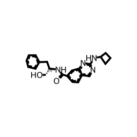 O=C(N[C@H](CO)Cc1ccccc1)c1ccc2cnc(NC3CCC3)nc2c1